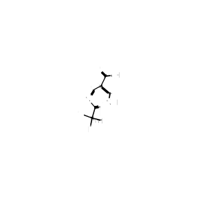 C=C(/N=C\C(=C/N)C(=O)O)C(F)(F)F